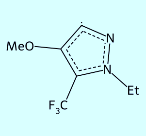 CCn1n[c]c(OC)c1C(F)(F)F